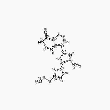 Nc1nn(-c2nccc3c(=O)[nH]cnc23)cc1-c1cnn(CCO)c1